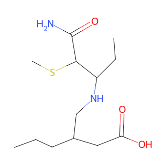 CCCC(CNC(CC)C(SC)C(N)=O)CC(=O)O